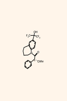 CO[C@@H](C(=O)N1CCCCc2cc(C(O)(C(F)(F)F)C(F)(F)F)ccc21)c1ccccc1